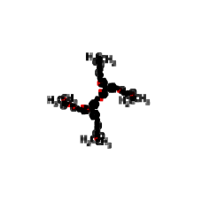 C=C(C)C(=O)OCCOCCc1ccc(N(c2ccc(CCOCCOC(=O)C(=C)C)cc2)c2ccc(CCc3ccc(N(c4ccc(CCOCCOC(=O)C(=C)C)cc4)c4ccc(CCOCCOC(=O)C(=C)C)cc4)cc3)cc2)cc1